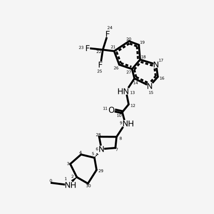 CN[C@H]1CC[C@H](N2CC(NC(=O)CNc3ncnc4ccc(C(F)(F)F)cc34)C2)CC1